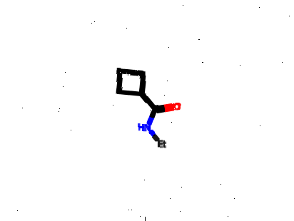 CCNC(=O)[C]1CCC1